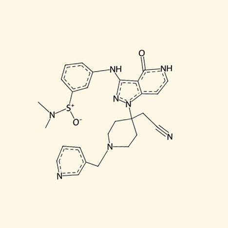 CN(C)[S+]([O-])c1cccc(Nc2nn(C3(CC#N)CCN(Cc4cccnc4)CC3)c3cc[nH]c(=O)c23)c1